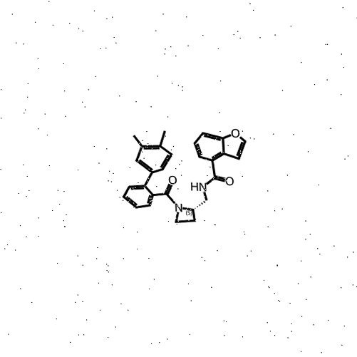 Cc1ccc(-c2ccccc2C(=O)N2CC[C@H]2CNC(=O)c2cccc3occc23)cc1C